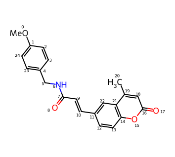 COc1ccc(CNC(=O)C=Cc2ccc3oc(=O)cc(C)c3c2)cc1